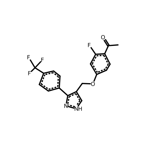 CC(=O)c1ccc(OCc2c[nH]nc2-c2ccc(C(F)(F)F)cc2)cc1F